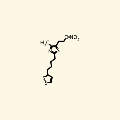 Cc1nc(CCCCC2C=CSS2)sc1CCO[N+](=O)[O-]